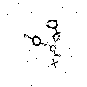 CC(C)(C)OC(=O)N1C[C@@H](n2cc(-c3cccnc3)nn2)[C@H](OCc2ccc(Br)cc2)C1